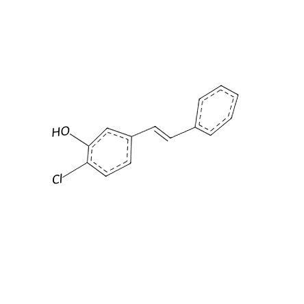 Oc1cc(C=Cc2ccccc2)ccc1Cl